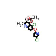 CC(=O)Oc1c(C)c(C)nc2ccc(Oc3ccc(Cl)cn3)c(Cl)c12